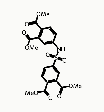 COC(=O)c1ccc(NS(=O)(=O)c2ccc(C(=O)OC)c(C(=O)OC)c2)cc1C(=O)OC